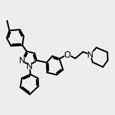 Cc1ccc(-c2cc(-c3cccc(OCCN4CCCCC4)c3)n(-c3ccccc3)n2)cc1